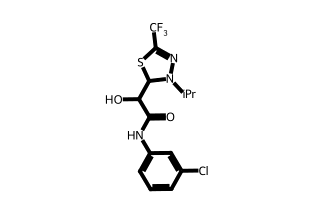 CC(C)N1N=C(C(F)(F)F)SC1C(O)C(=O)Nc1cccc(Cl)c1